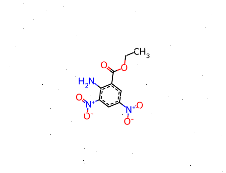 CCOC(=O)c1cc([N+](=O)[O-])cc([N+](=O)[O-])c1N